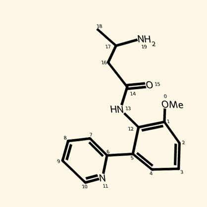 COc1cccc(-c2ccccn2)c1NC(=O)CC(C)N